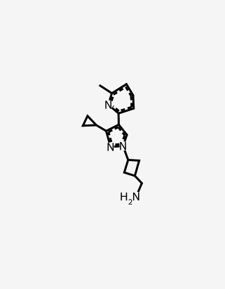 Cc1cccc(-c2cn(C3CC(CN)C3)nc2C2CC2)n1